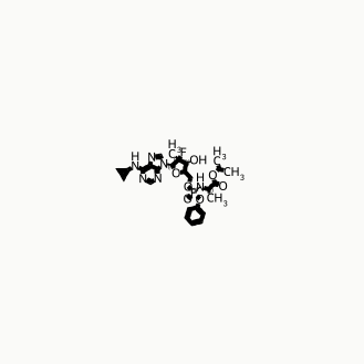 CC(C)OC(=O)[C@@H](C)N[P@](=O)(OCC1O[C@@H](n2cnc3c(NC4CC4)ncnc32)[C@](C)(F)[C@@H]1O)Oc1ccccc1